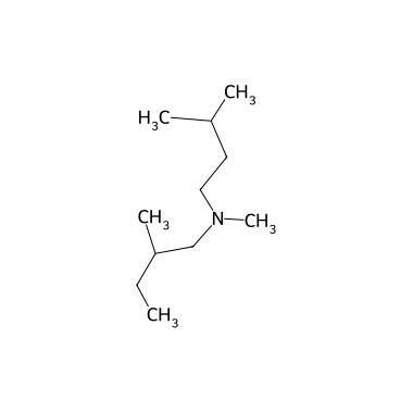 CCC(C)CN(C)CCC(C)C